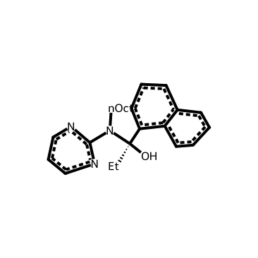 CCCCCCCCN(c1ncccn1)[C@@](O)(CC)c1cccc2ccccc12